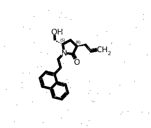 C=CC[C@@H]1C[C@@H](CO)N(CCc2cccc3ccccc23)C1=O